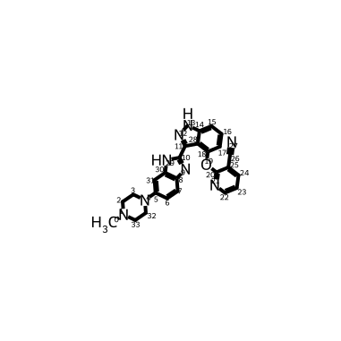 CN1CCN(c2ccc3nc(-c4n[nH]c5cccc(Oc6ncccc6C#N)c45)[nH]c3c2)CC1